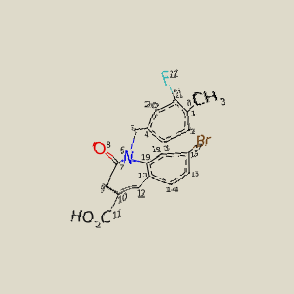 Cc1ccc(CN2C(=O)CC(C(=O)O)=Cc3ccc(Br)cc32)cc1F